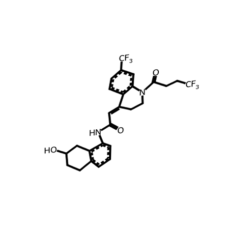 O=C(/C=C1\CCN(C(=O)CCC(F)(F)F)c2cc(C(F)(F)F)ccc21)Nc1cccc2c1CC(O)CC2